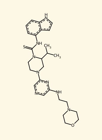 CC(C)C1CN(c2cncc(NCCN3CCOCC3)n2)CCN1C(=S)Nc1cccc2[nH]ccc12